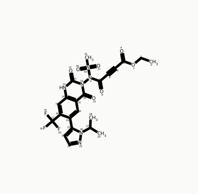 CCOC(=O)C#CC(=O)N(n1c(=O)[nH]c2cc(C(F)(F)F)c(-c3ccnn3C(C)C)cc2c1=O)S(C)(=O)=O